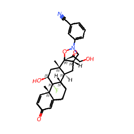 C[C@]12C=CC(=O)C=C1CC[C@H]1[C@@H]3C[C@H]4CN(c5cccc(C#N)c5)O[C@@]4(C(=O)CO)[C@@]3(C)C[C@H](O)[C@@]12F